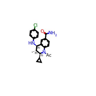 CC(=O)N1c2ccc(C(N)=O)cc2[C@H](Nc2ccc(Cl)cc2)[C@@H](C)[C@@H]1C1CC1